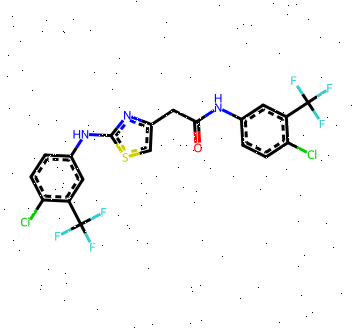 O=C(Cc1csc(Nc2ccc(Cl)c(C(F)(F)F)c2)n1)Nc1ccc(Cl)c(C(F)(F)F)c1